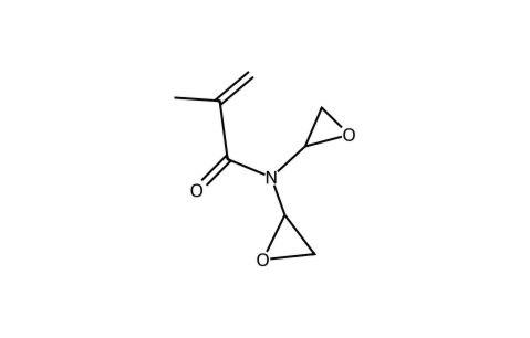 C=C(C)C(=O)N(C1CO1)C1CO1